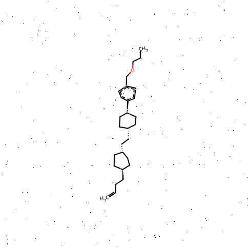 C=CCC[C@H]1CC[C@H](CC[C@H]2CC[C@H](c3ccc(COCCC)cc3)CC2)CC1